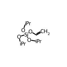 C=CO[Si](OC(C)C)(OC(C)C)OC(C)C